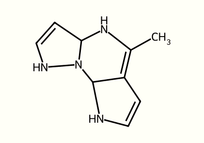 CC1=C2C=CNC2N2NC=CC2N1